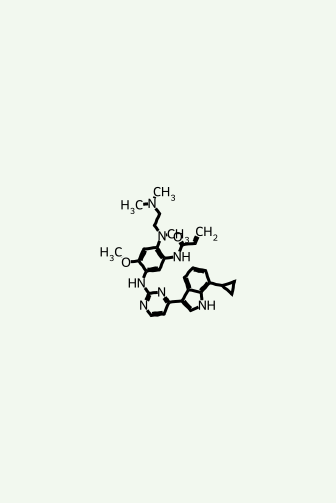 C=CC(=O)Nc1cc(Nc2nccc(-c3c[nH]c4c(C5CC5)cccc34)n2)c(OC)cc1N(C)CCN(C)C